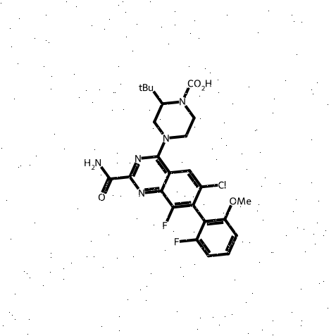 COc1cccc(F)c1-c1c(Cl)cc2c(N3CCN(C(=O)O)C(C(C)(C)C)C3)nc(C(N)=O)nc2c1F